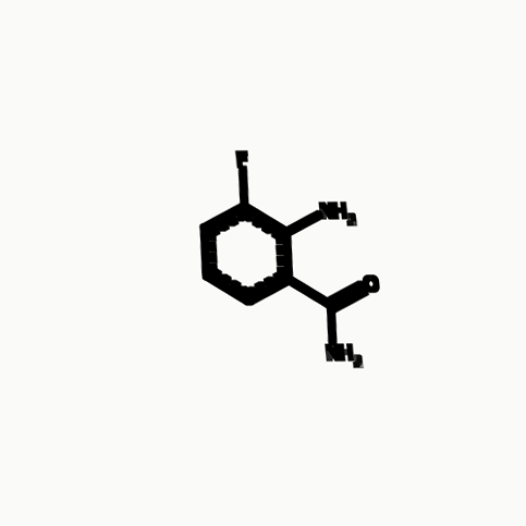 NC(=O)c1cccc(F)c1N